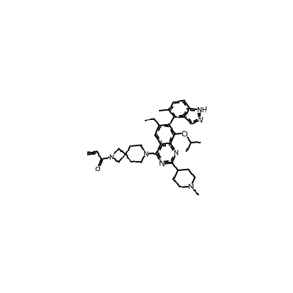 C=CC(=O)N1CC2(CCN(c3nc(C4CCN(C)CC4)nc4c(OC(C)C)c(-c5c(C)ccc6[nH]ncc56)c(CC)cc34)CC2)C1